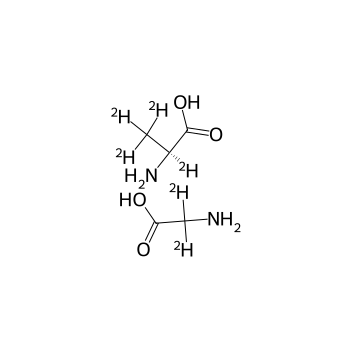 [2H]C([2H])(N)C(=O)O.[2H]C([2H])([2H])[C@]([2H])(N)C(=O)O